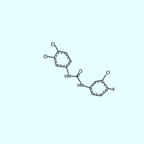 O=C(Nc1ccc(F)c(Cl)c1)Nc1ccc(Cl)c(Cl)c1